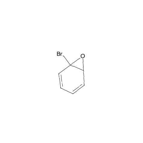 BrC12C=CC=CC1O2